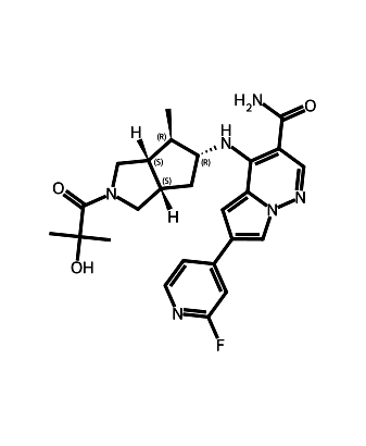 C[C@@H]1[C@H]2CN(C(=O)C(C)(C)O)C[C@H]2C[C@H]1Nc1c(C(N)=O)cnn2cc(-c3ccnc(F)c3)cc12